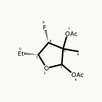 CC[C@H]1OC(OC(C)=O)C(C)(OC(C)=O)[C@H]1F